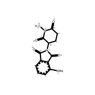 CNc1cccc2c1C(=O)N(C1CCC(=O)N(C)C1=O)C2=O